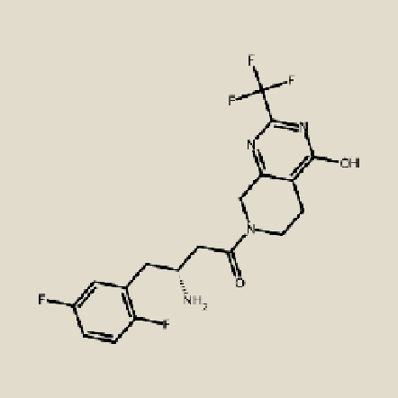 N[C@@H](CC(=O)N1CCc2c(O)nc(C(F)(F)F)nc2C1)Cc1cc(F)ccc1F